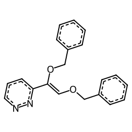 C(OCc1ccccc1)=C(OCc1ccccc1)c1cccnn1